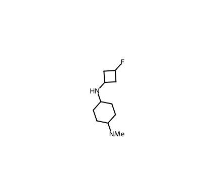 CNC1CCC(NC2CC(F)C2)CC1